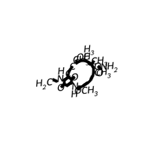 C=CCNC1=C2CCCC(C)C(O)C(C)/C=C(/C)C(OC(N)=O)C(C)/C=C\C=C(\C)C(=O)NC(=CC1=O)C2=O